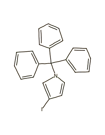 Ic1ccn(C(c2ccccc2)(c2ccccc2)c2ccccc2)c1